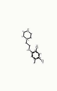 Cc1cc(OCCN2CCOCC2)c(Cl)cc1Cl